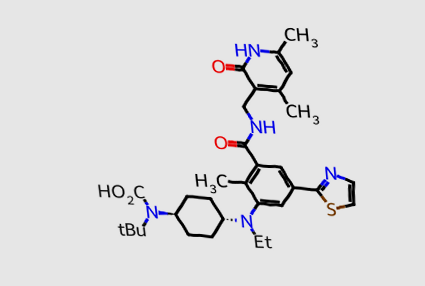 CCN(c1cc(-c2nccs2)cc(C(=O)NCc2c(C)cc(C)[nH]c2=O)c1C)[C@H]1CC[C@H](N(C(=O)O)C(C)(C)C)CC1